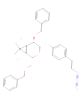 CC1(C)[C@]2(O)[C@@H](COCc3ccccc3)O[C@@H](Oc3ccc(CCN=[N+]=[N-])cc3)[C@H](OCc3ccccc3)[C@]12O